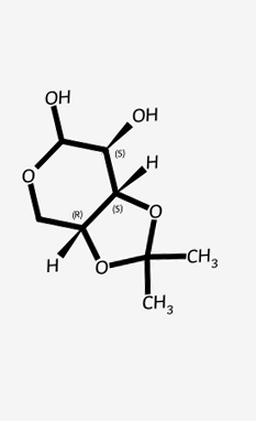 CC1(C)O[C@H]2[C@H](O)C(O)OC[C@H]2O1